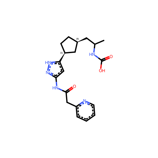 CC(C[C@@H]1CC[C@H](c2cc(NC(=O)Cc3ccccn3)n[nH]2)C1)NC(=O)O